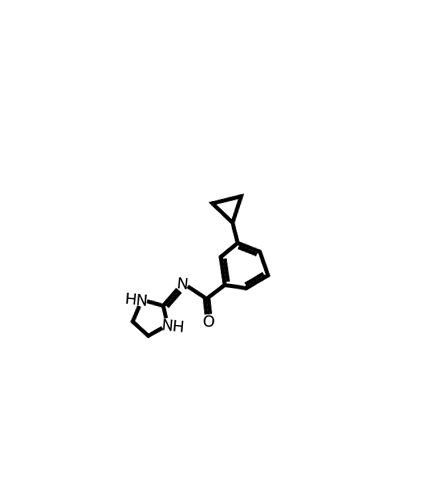 O=C(N=C1NCCN1)c1cccc(C2CC2)c1